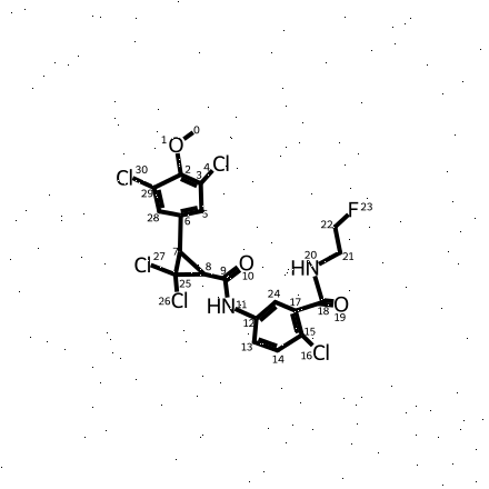 COc1c(Cl)cc(C2C(C(=O)Nc3ccc(Cl)c(C(=O)NCCF)c3)C2(Cl)Cl)cc1Cl